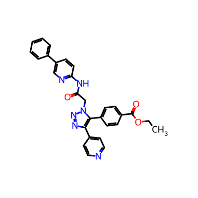 CCOC(=O)c1ccc(-c2c(-c3ccncc3)nnn2CC(=O)Nc2ccc(-c3ccccc3)cn2)cc1